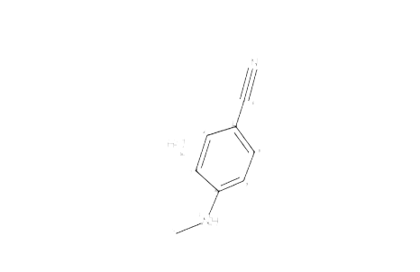 CNc1ccc(C#N)cc1.Cl